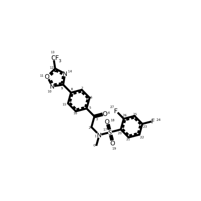 CN(CC(=O)c1ccc(-c2noc(C(F)(F)F)n2)cc1)S(=O)(=O)c1ccc(F)cc1F